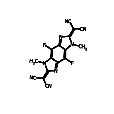 Cn1c(=C(C#N)C#N)nc2c(F)c3c(nc(=C(C#N)C#N)n3C)c(F)c21